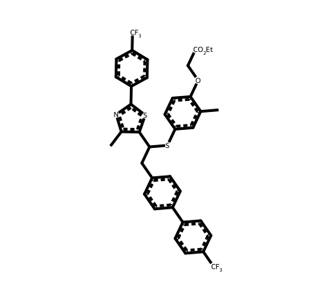 CCOC(=O)COc1ccc(SC(Cc2ccc(-c3ccc(C(F)(F)F)cc3)cc2)c2sc(-c3ccc(C(F)(F)F)cc3)nc2C)cc1C